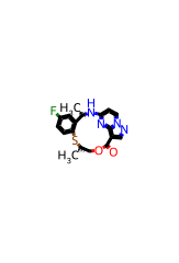 C[C@H]1COC(=O)c2cnn3ccc(nc23)N[C@H](C)c2cc(F)ccc2S1